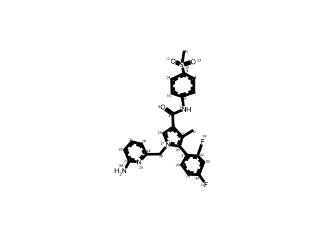 Cc1c(C(=O)Nc2ccc(S(C)(=O)=O)cc2)cn(Cc2cccc(N)n2)c1-c1ccc(F)cc1F